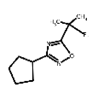 CCC(C)(C)c1nc(C2CCCC2)no1